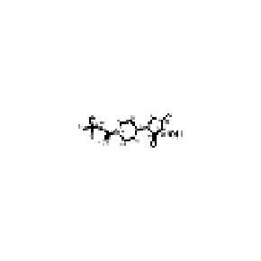 C[C@@H]1CN(C2CCN(C(=O)OC(C)(C)C)CC2)C(=O)[C@H]1O